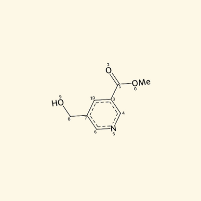 COC(=O)c1cncc(CO)c1